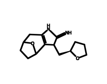 N=C1NC2=C(C3CCC(C2)O3)C1C[C@H]1CCCO1